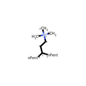 CCCCCC(CCCCC)CC[N+](C)(C)C